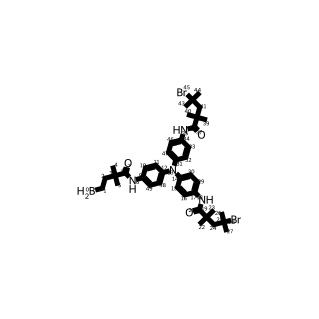 BCCC(C)(C)C(=O)Nc1ccc(N(c2ccc(NC(=O)C(C)(C)CC(C)(C)Br)cc2)c2ccc(NC(=O)C(C)(C)CC(C)(C)Br)cc2)cc1